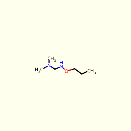 CCCONCN(C)C